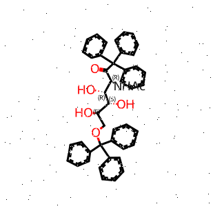 CC(=O)N[C@@H](C(=O)C(c1ccccc1)(c1ccccc1)c1ccccc1)[C@@H](O)[C@H](O)[C@H](O)COC(c1ccccc1)(c1ccccc1)c1ccccc1